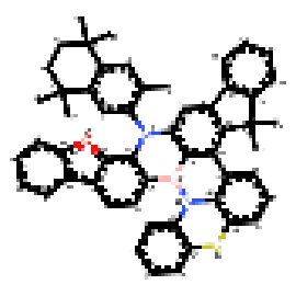 Cc1cc2c(cc1N1c3cc4c(c5c3B(c3ccc6c(oc7ccccc76)c31)N1c3ccccc3Sc3cccc-5c31)C(C)(C)c1ccccc1-4)C(C)(C)CCC2(C)C